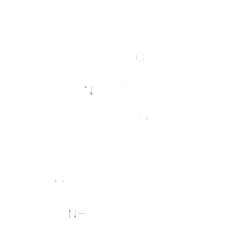 CC(C)(C)OC(=O)N1CCCC1CON